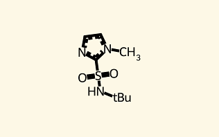 Cn1ccnc1S(=O)(=O)NC(C)(C)C